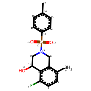 Bc1ccc(F)c2c1CN(S(=O)(=O)c1ccc(C)cc1)CC2O